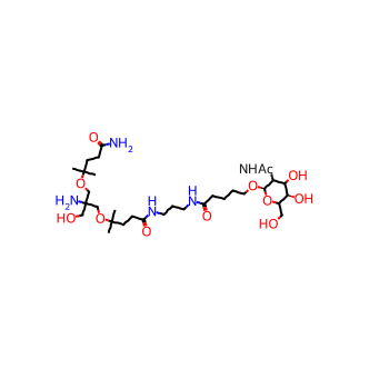 CC(=O)NC1C(O)[C@@H](O)C(CO)O[C@H]1OCCCCC(=O)NCCCNC(=O)CCC(C)(C)OCC(N)(CO)COC(C)(C)CCC(N)=O